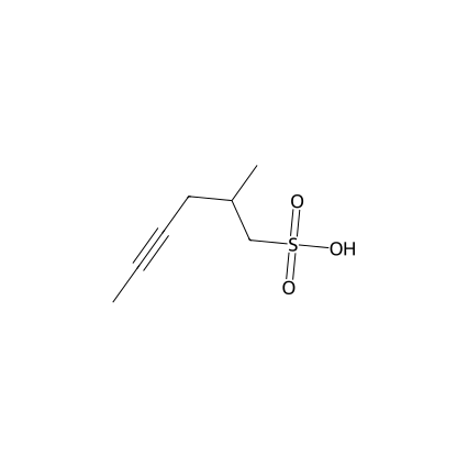 CC#CCC(C)CS(=O)(=O)O